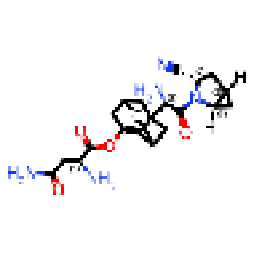 N#C[C@@H]1C[C@@H]2C[C@@H]2N1C(=O)[C@@H](N)C12CC3CC(OC(=O)[C@@H](N)CC(N)=O)=C1C(C3)C2